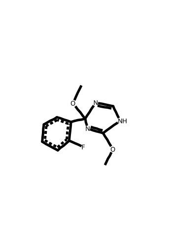 COC1=NC(OC)(c2ccccc2F)N=CN1